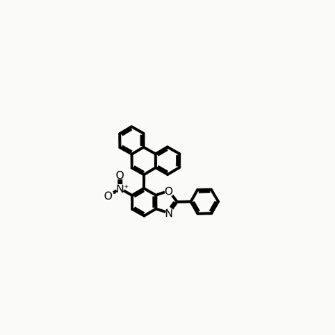 O=[N+]([O-])c1ccc2nc(-c3ccccc3)oc2c1-c1cc2ccccc2c2ccccc12